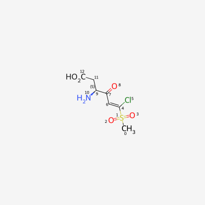 CS(=O)(=O)C(Cl)=CC(=O)[C@@H](N)CC(=O)O